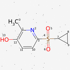 Cc1nc(S(=O)(=O)C2CC2)ccc1O